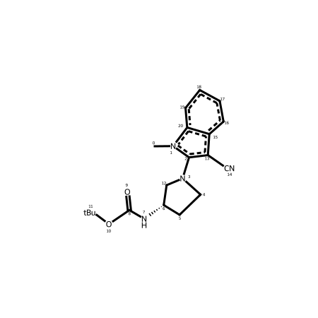 Cn1c(N2CC[C@H](NC(=O)OC(C)(C)C)C2)c(C#N)c2ccccc21